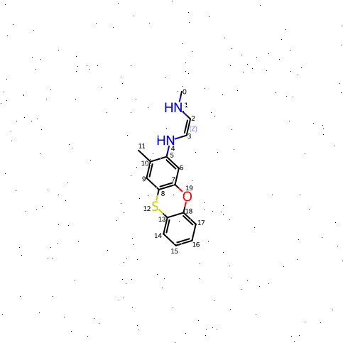 CN/C=C\Nc1cc2c(cc1C)Sc1ccccc1O2